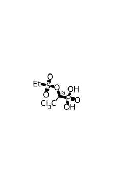 CCS(=O)(=O)O[C@@H](C(Cl)(Cl)Cl)P(=O)(O)O